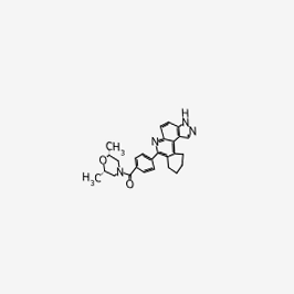 C[C@@H]1CN(C(=O)c2ccc(-c3nc4ccc5[nH]ncc5c4c4c3CCCC4)cc2)C[C@H](C)O1